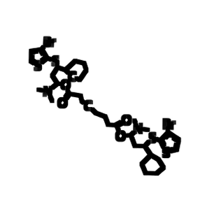 CN(C)C(CC(Sc1sccc1Br)C1CCCCC1)OC(=O)CCCCCCC(=O)OC(CC(Sc1sccc1Br)C1CCCCC1)N(C)C